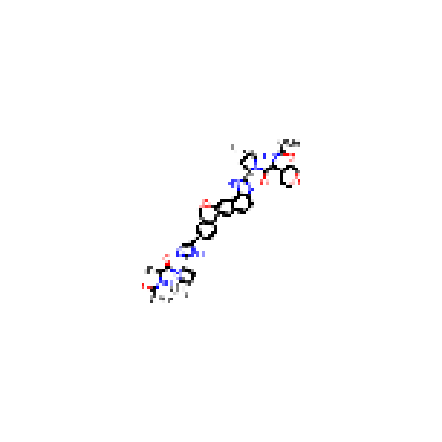 COC(=O)NC(C(=O)N1[C@@H](C)CC[C@H]1c1ncc(-c2ccc3c(c2)COc2cc4c(ccc5nc([C@@H]6C[C@H](C)CN6C(=O)C(NC(=O)OC)C6CCOCC6)[nH]c54)cc2-3)[nH]1)C(C)C